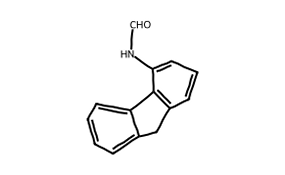 O=CNc1cccc2c1-c1ccccc1C2